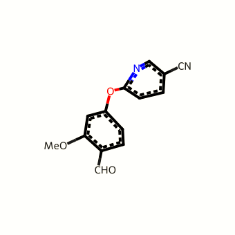 COc1cc(Oc2ccc(C#N)cn2)ccc1C=O